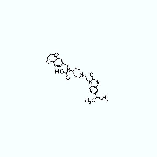 CC(C)c1ccc2c(ccc(=O)n2CCN2CCC(N(Cc3ccc4c(c3)OCCO4)C(=O)O)CC2)c1